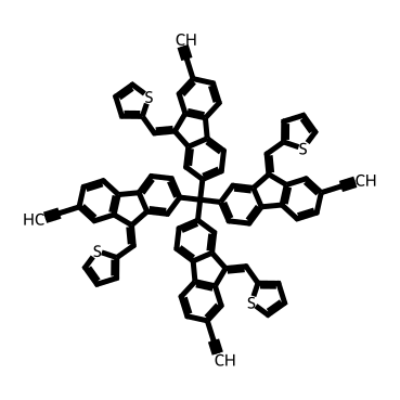 C#Cc1ccc2c(c1)/C(=C\c1cccs1)c1cc(C(c3ccc4c(c3)/C(=C/c3cccs3)c3cc(C#C)ccc3-4)(c3ccc4c(c3)/C(=C/c3cccs3)c3cc(C#C)ccc3-4)c3ccc4c(c3)/C(=C/c3cccs3)c3cc(C#C)ccc3-4)ccc1-2